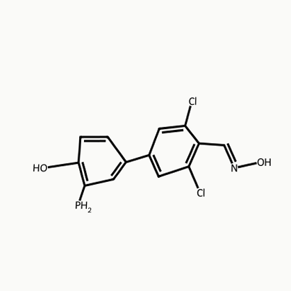 O/N=C/c1c(Cl)cc(-c2ccc(O)c(P)c2)cc1Cl